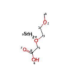 COCCOCC(=O)O.[SrH2]